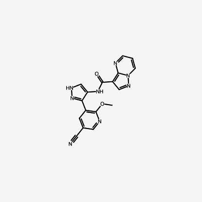 COc1ncc(C#N)cc1-c1n[nH]cc1NC(=O)c1cnn2cccnc12